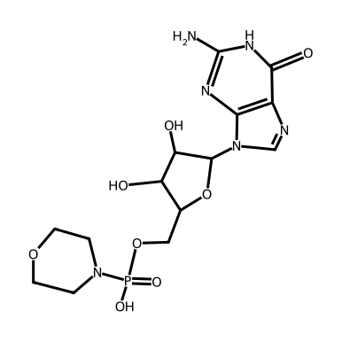 Nc1nc2c(ncn2C2OC(COP(=O)(O)N3CCOCC3)C(O)C2O)c(=O)[nH]1